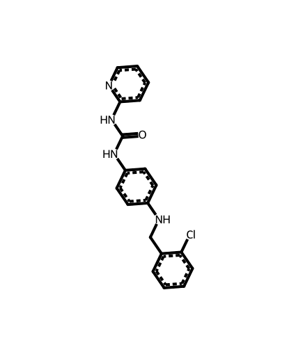 O=C(Nc1ccc(NCc2ccccc2Cl)cc1)Nc1ccccn1